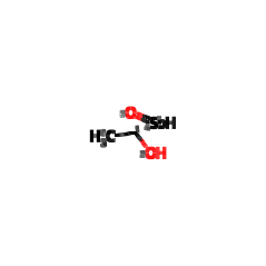 CCO.[O]=[SbH]